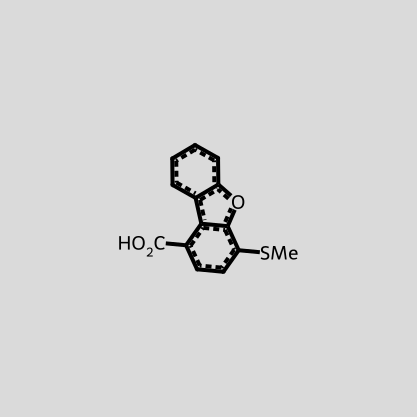 CSc1ccc(C(=O)O)c2c1oc1ccccc12